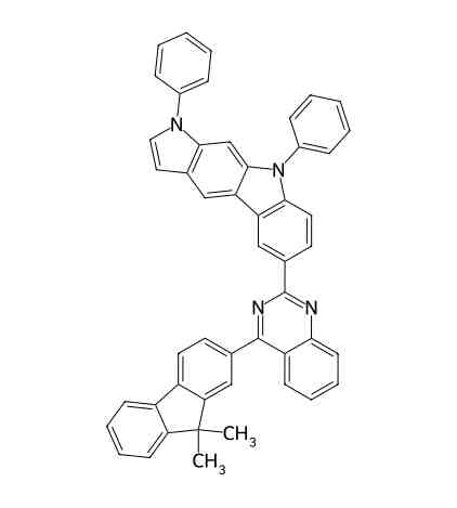 CC1(C)c2ccccc2-c2ccc(-c3nc(-c4ccc5c(c4)c4cc6ccn(-c7ccccc7)c6cc4n5-c4ccccc4)nc4ccccc34)cc21